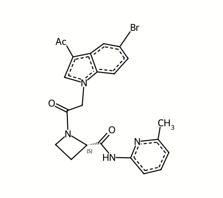 CC(=O)c1cn(CC(=O)N2CC[C@H]2C(=O)Nc2cccc(C)n2)c2ccc(Br)cc12